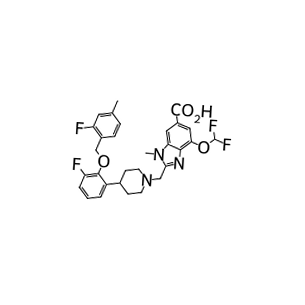 Cc1ccc(COc2c(F)cccc2C2CCN(Cc3nc4c(OC(F)F)cc(C(=O)O)cc4n3C)CC2)c(F)c1